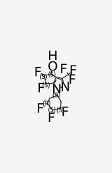 O[C@H]1c2c(C(F)(F)F)nn([C@@H]3C[C@@H](F)[C@@H](F)[C@@H](F)C3)c2[C@H](F)[C@H]1F